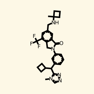 Cn1cnnc1C(c1cccc(N2Cc3c(cc(CNC4(C)CCC4)cc3C(F)(F)F)C2=O)c1)C1CCC1